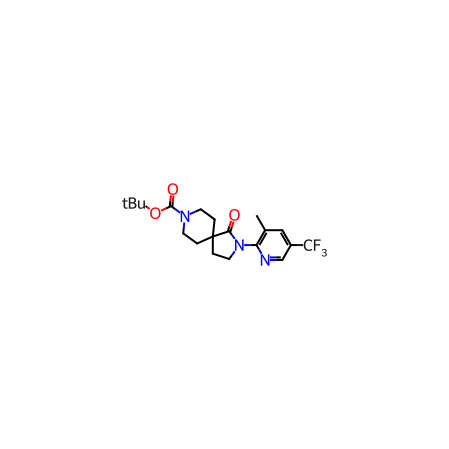 Cc1cc(C(F)(F)F)cnc1N1CCC2(CCN(C(=O)OC(C)(C)C)CC2)C1=O